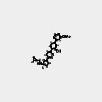 COc1cc(-c2ccc(-c3ccc(N4CC[C@@](C)(NCC5CC5)C4)nn3)c(O)c2)ncn1